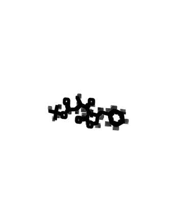 CC(CC(=O)OC(C)(C)C)C(=O)N1C(=O)OCC1Cc1ccccc1